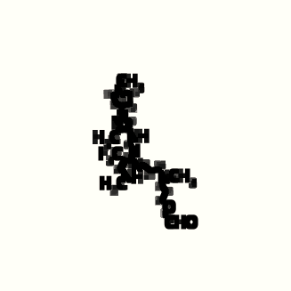 C=N/C=C(\C(=N/CNc1cn(C2CCN(C)CC2)nc1C)NCCCN(C)CCCOCC=O)C(F)(F)F